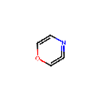 C1=COC=CN=1